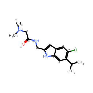 CC(C)c1cc2[nH]c(CNC(=O)CN(C)C)cc2cc1Cl